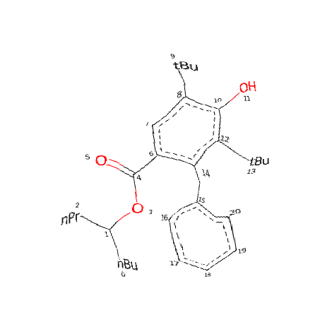 CCCCC(CCC)OC(=O)c1cc(C(C)(C)C)c(O)c(C(C)(C)C)c1-c1ccccc1